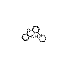 c1ccc2c(c1)Nc1c(cccc1N1CCCCC1)O2